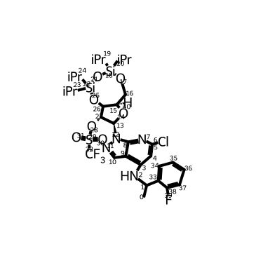 CC(Nc1cc(Cl)nc2c1cnn2[C@@H]1O[C@@H]2CO[Si](C(C)C)(C(C)C)O[Si](C(C)C)(C(C)C)OC2[C@H]1OS(=O)(=O)C(F)(F)F)c1ccccc1F